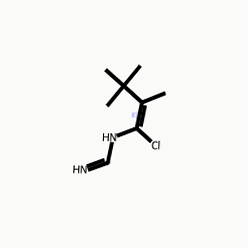 C/C(=C(\Cl)NC=N)C(C)(C)C